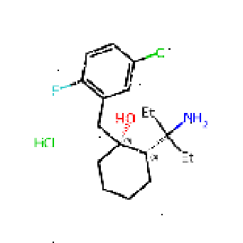 CCC(N)(CC)[C@@H]1CCCC[C@@]1(O)Cc1cc(Cl)ccc1F.Cl